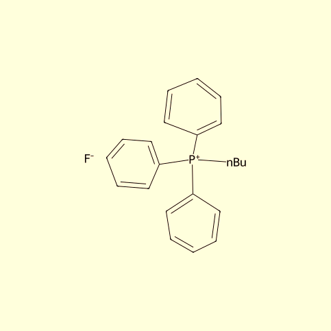 CCCC[P+](c1ccccc1)(c1ccccc1)c1ccccc1.[F-]